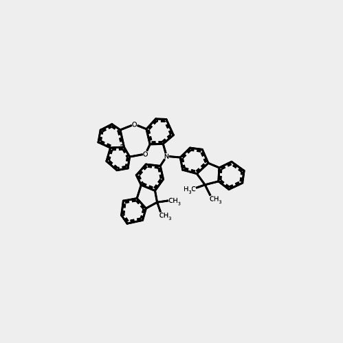 CC1(C)c2ccccc2-c2ccc(N(c3ccc4c(c3)C(C)(C)c3ccccc3-4)c3cccc4c3Oc3cccc5cccc(c35)O4)cc21